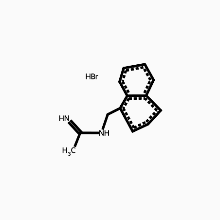 Br.CC(=N)NCc1cccc2ccccc12